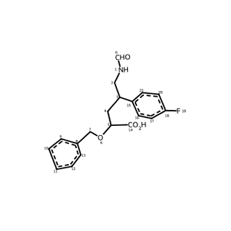 O=CNCC(CC(OCc1ccccc1)C(=O)O)c1ccc(F)cc1